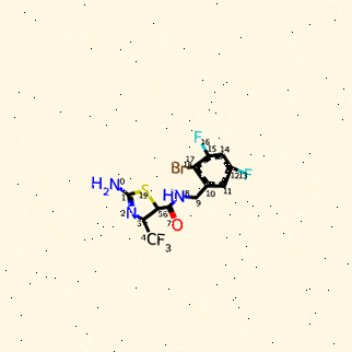 NC1=NC(C(F)(F)F)C(C(=O)NCc2cc(F)cc(F)c2Br)S1